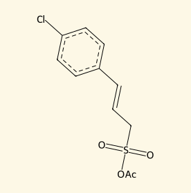 CC(=O)OS(=O)(=O)CC=Cc1ccc(Cl)cc1